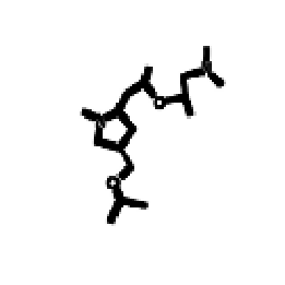 CC(C)OC[C@@H]1CC(CC(C)OC(C)CN(C)C)N(C)C1